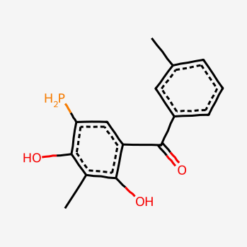 Cc1cccc(C(=O)c2cc(P)c(O)c(C)c2O)c1